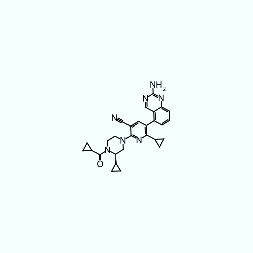 N#Cc1cc(-c2cccc3nc(N)ncc23)c(C2CC2)nc1N1CCN(C(=O)C2CC2)[C@H](C2CC2)C1